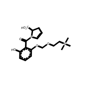 C[Si](C)(C)CCOCOc1cccc(O)c1C(=O)N1C=CCC1C(=O)O